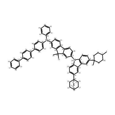 CC1CCC(C)(c2ccc3c(c2)c2cc(C45CCC(CC4)CC5)ccc2n3-c2ccc3c(c2)C(C)(C)c2cc(N(c4ccccc4)c4ccc(-c5ccc(-c6ccccc6)cc5)cc4)ccc2-3)CC1